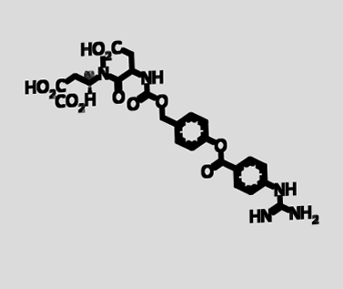 CN(C(=O)C(CC(=O)O)NC(=O)OCc1ccc(OC(=O)c2ccc(NC(=N)N)cc2)cc1)[C@@H](CC(=O)O)C(=O)O